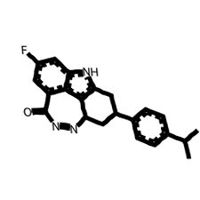 CC(C)c1ccc(C2Cc3[nH]c4cc(F)cc5c4c3C(C2)N=NC5=O)cc1